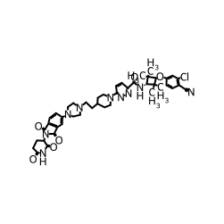 CC1(C)[C@H](NC(=O)c2ccc(N3CCC(CCN4CCN(c5ccc6c(c5)C(=O)N(C5CCC(=O)NC5=O)C6=O)CC4)CC3)nn2)C(C)(C)[C@H]1Oc1ccc(C#N)c(Cl)c1